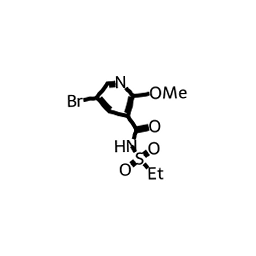 CCS(=O)(=O)NC(=O)c1cc(Br)cnc1OC